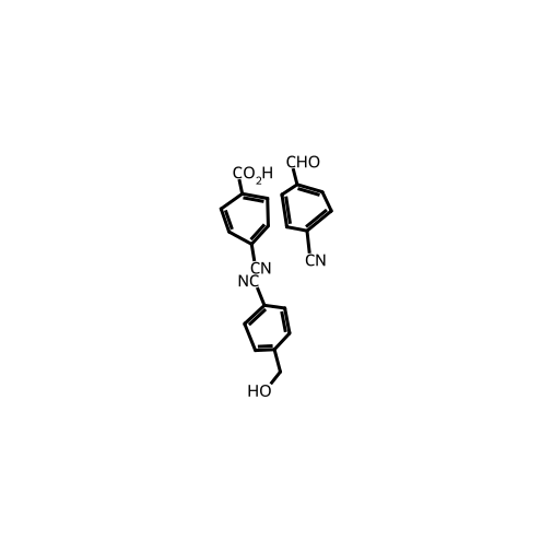 N#Cc1ccc(C(=O)O)cc1.N#Cc1ccc(C=O)cc1.N#Cc1ccc(CO)cc1